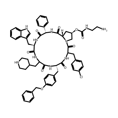 NCCNC(=O)O[C@@H]1C[C@H]2C(=O)N[C@@H](c3ccccc3)C(=O)N[C@H](Cc3c[nH]c4ccccc34)C(=O)NC(CC3CCNCC3)C(=O)N[C@@H](Cc3ccc(OCc4ccccc4)cc3)C(=O)NC(Cc3ccc(Cl)cc3)C(=O)N2C1